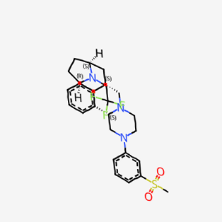 CS(=O)(=O)c1cccc(N2CCN(C[C@@H]3C[C@H]4CC[C@@H](C3)N4CC(F)(F)F)[C@@H](c3ccccc3)C2)c1